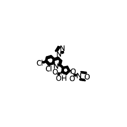 O=C(O)[C@@H]1C[C@H](OC(=O)N2CCOCC2)CC1c1cc(-n2ccnc2)c2ccc(Cl)c(Cl)c2n1